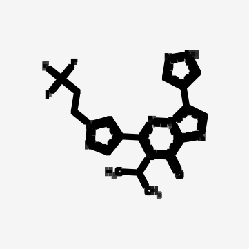 CC(C)n1c(-c2cnn(CCC(F)(F)F)c2)nn2c(-c3cn[nH]c3)cnc2c1=O